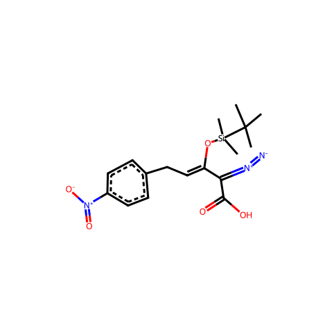 CC(C)(C)[Si](C)(C)OC(=CCc1ccc([N+](=O)[O-])cc1)C(=[N+]=[N-])C(=O)O